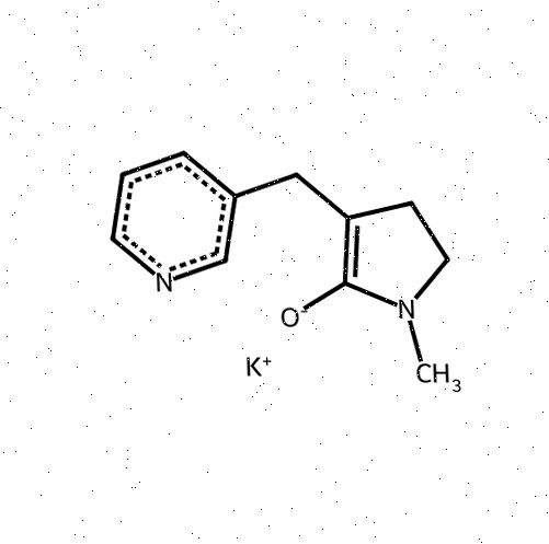 CN1CCC(Cc2cccnc2)=C1[O-].[K+]